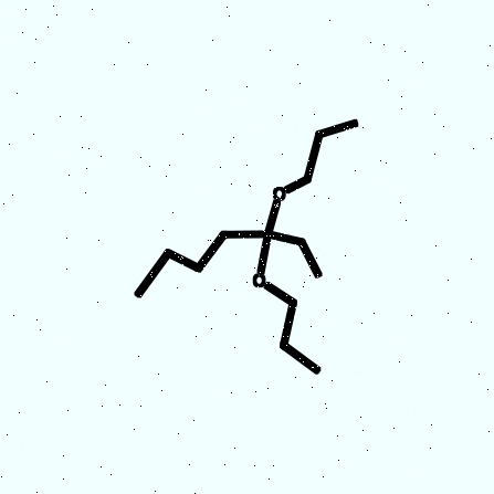 CCCCC(CC)(OCCC)OCCC